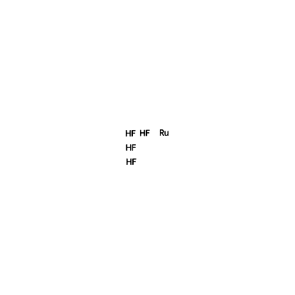 F.F.F.F.[Ru]